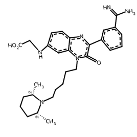 C[C@@H]1CCC[C@H](C)N1CCCCCn1c(=O)c(-c2cccc(C(=N)N)c2)nc2ccc(NCC(=O)O)cc21